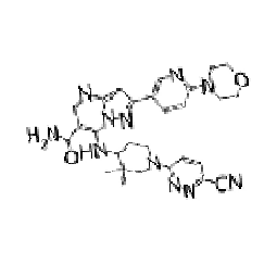 CC1(C)CN(c2ccc(C#N)nn2)CCC1Nc1c(C(N)=O)cnc2cc(-c3ccc(N4CCOCC4)nc3)nn12